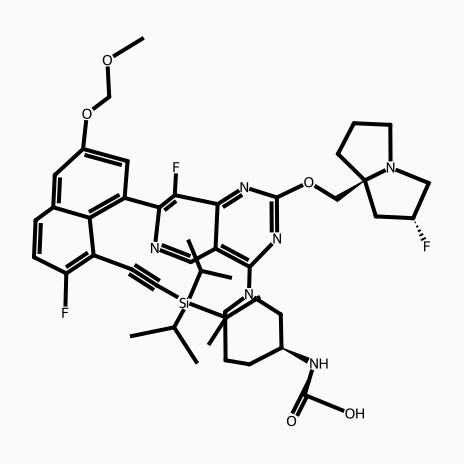 COCOc1cc(-c2ncc3c(N4CCC[C@H](NC(=O)O)C4)nc(OC[C@@]45CCCN4C[C@H](F)C5)nc3c2F)c2c(C#C[Si](C(C)C)(C(C)C)C(C)C)c(F)ccc2c1